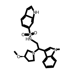 CO[C@@H]1CCN(C(CNS(=O)(=O)c2ccc3cc[nH]c3c2)c2cn(C)c3ccccc23)C1